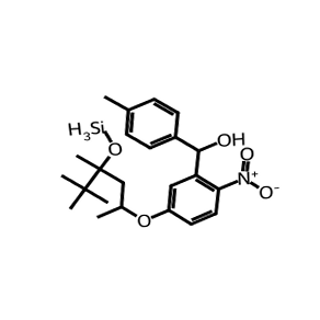 Cc1ccc(C(O)c2cc(OC(C)CC(C)(O[SiH3])C(C)(C)C)ccc2[N+](=O)[O-])cc1